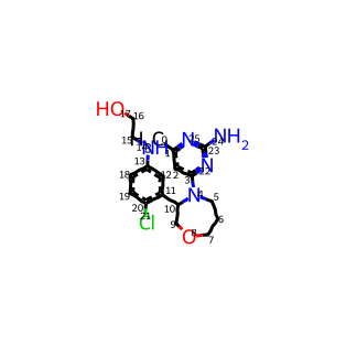 Cc1cc(N2CCCOCC2c2cc(NCCO)ccc2Cl)nc(N)n1